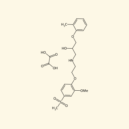 COc1cc(S(C)(=O)=O)ccc1OCCNCC(O)COc1ccccc1C.O=C(O)C(=O)O